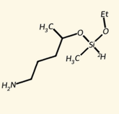 [2H][Si](C)(OCC)OC(C)CCCN